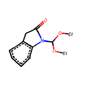 CCOC(OCC)N1C(=O)Cc2ccccc21